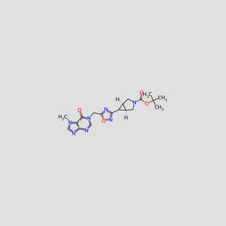 Cn1cnc2ncn(Cc3nc(C4[C@H]5CN(C(=O)OC(C)(C)C)C[C@@H]45)no3)c(=O)c21